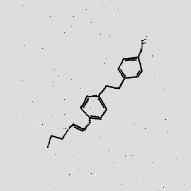 CCCC=Cc1ccc(CCc2ccc(F)cc2)cc1